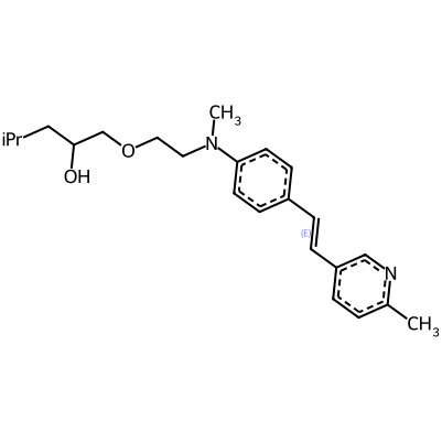 Cc1ccc(/C=C/c2ccc(N(C)CCOCC(O)CC(C)C)cc2)cn1